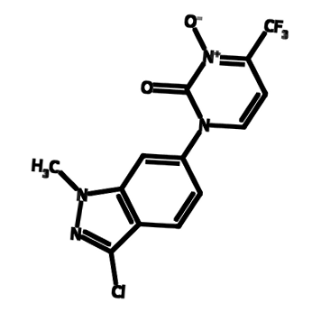 Cn1nc(Cl)c2ccc(-n3ccc(C(F)(F)F)[n+]([O-])c3=O)cc21